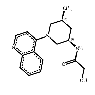 C[C@H]1C[C@@H](NC(=O)CO)CN(c2ccnc3ccccc23)C1